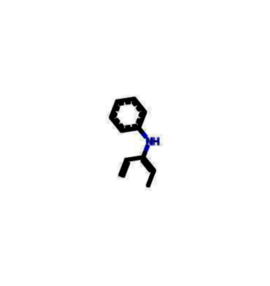 C=C/C(=C\C)Nc1ccccc1